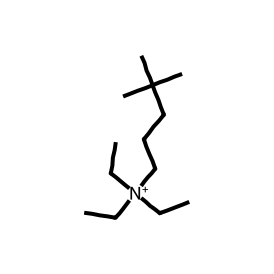 CC[N+](CC)(CC)CCCC(C)(C)C